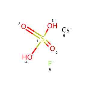 O=S(=O)(O)O.[Cs+].[F-]